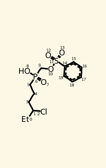 CCC(Cl)CCCP(=O)(O)COS(=O)(=O)c1ccccc1